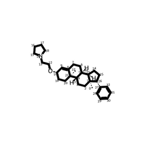 C[C@]12CC[C@H]3[C@@H](CCC4=C[C@@H](OCCN5CCCC5)CC[C@@]43C)[C@H]1CC[C@@H]2c1ccccc1